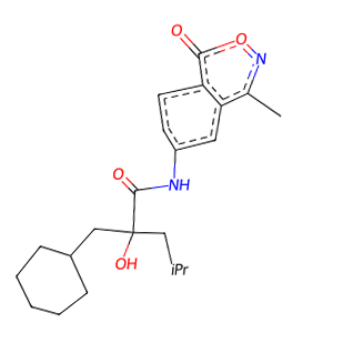 Cc1noc(=O)c2ccc(NC(=O)C(O)(CC(C)C)CC3CCCCC3)cc12